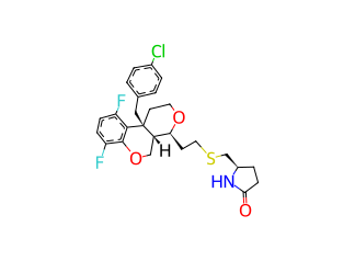 O=C1CC[C@H](CSCC[C@@H]2OCC[C@@]3(Cc4ccc(Cl)cc4)c4c(F)ccc(F)c4OC[C@@H]23)N1